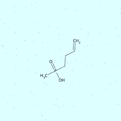 C=CCCP(C)(=O)O